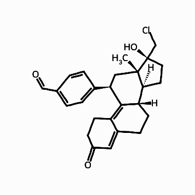 C[C@]12C[C@H](c3ccc(C=O)cc3)C3=C4CCC(=O)C=C4CC[C@H]3[C@@H]1CC[C@@]2(O)CCl